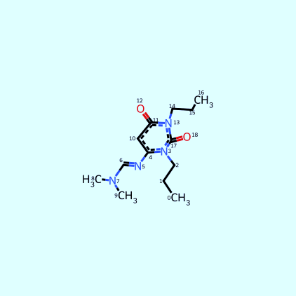 CCCn1c(N=CN(C)C)cc(=O)n(CCC)c1=O